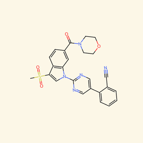 CS(=O)(=O)c1cn(-c2ncc(-c3ccccc3C#N)cn2)c2cc(C(=O)N3CCOCC3)ccc12